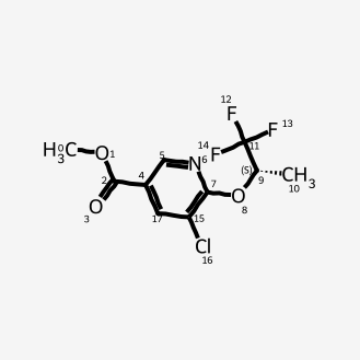 COC(=O)c1cnc(O[C@@H](C)C(F)(F)F)c(Cl)c1